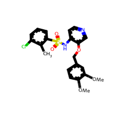 COc1ccc(COc2cnccc2NS(=O)(=O)c2cccc(Cl)c2C)cc1OC